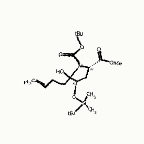 C=CCCC1(O)[C@H](O[Si](C)(C)C(C)(C)C)C[C@@H](C(=O)OC)N1C(=O)OC(C)(C)C